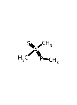 CP=S(C)(C)=S